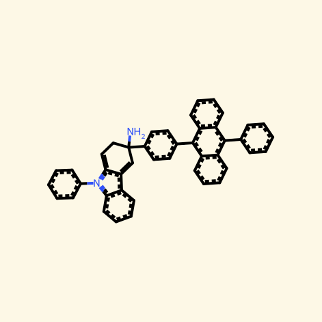 NC1(c2ccc(-c3c4ccccc4c(-c4ccccc4)c4ccccc34)cc2)C=c2c(n(-c3ccccc3)c3ccccc23)=CC1